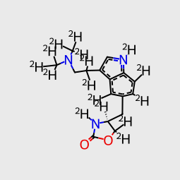 [2H]c1c(C[C@]2([2H])N([2H])C(=O)OC2([2H])[2H])c([2H])c2c(C([2H])([2H])CN(C([2H])([2H])[2H])C([2H])([2H])[2H])cn([2H])c2c1[2H]